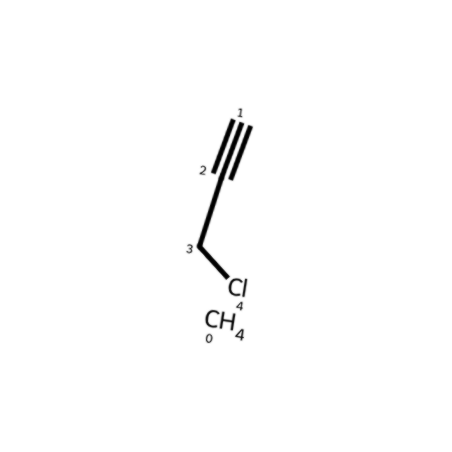 C.C#CCCl